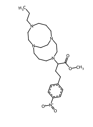 CCCN1CCCN2CCN(CCCN(C(CCc3ccc([N+](=O)[O-])cc3)C(=O)OC)CC2)CC1